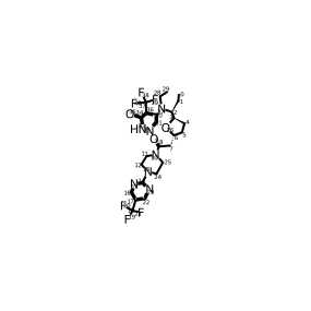 CC[C@@H]([C@H]1CC[C@H](CC(=O)N2CCN(c3ncc(C(F)(F)F)cn3)CC2)O1)N(CC)c1cn[nH]c(=O)c1C(F)(F)F